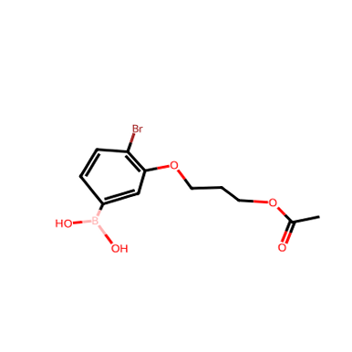 CC(=O)OCCCOc1cc(B(O)O)ccc1Br